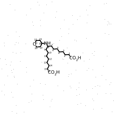 O=C(O)CCCCCCCC(CCCCCCCC(=O)O)NC1CCOCC1